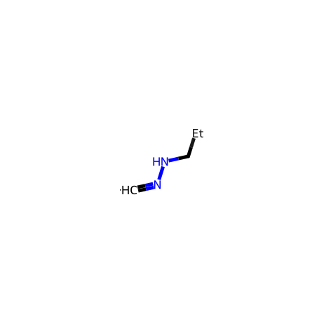 [CH]=NNCCC